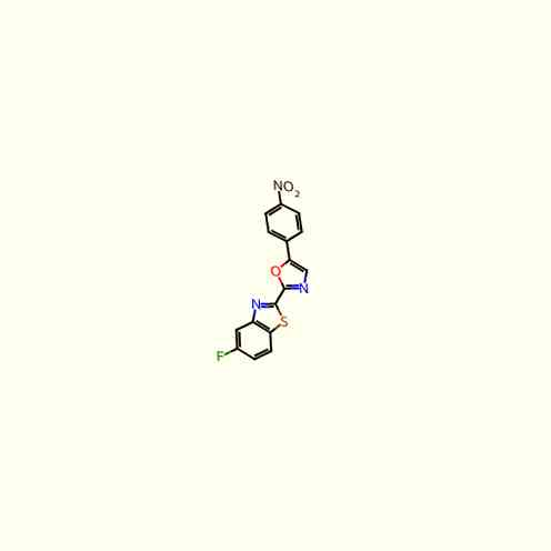 O=[N+]([O-])c1ccc(-c2cnc(-c3nc4cc(F)ccc4s3)o2)cc1